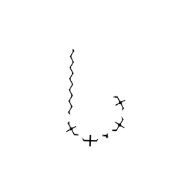 CC(C)(CO)COCC(C)(C)CNC(=O)OCC(C)(C)COCC(C)(C)COCCCCCCCCCCCCS